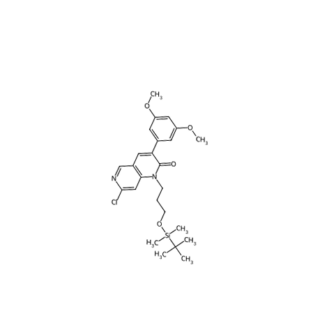 COc1cc(OC)cc(-c2cc3cnc(Cl)cc3n(CCCO[Si](C)(C)C(C)(C)C)c2=O)c1